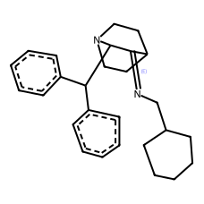 c1ccc(C(c2ccccc2)C2/C(=N/CC3CCCCC3)C3CCN2CC3)cc1